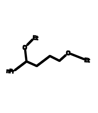 [CH2]CCC(CCCOCC)OCC